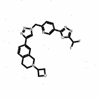 FC(F)c1nnc(-c2ccc(Cn3cc(-c4ccc5c(c4)CN(C4COC4)CC5)nn3)nc2)o1